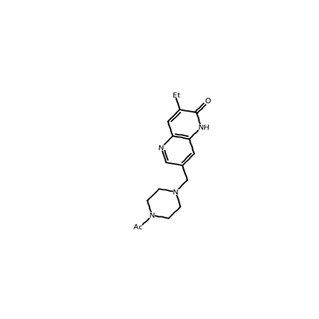 CCc1cc2ncc(CN3CCN(C(C)=O)CC3)cc2[nH]c1=O